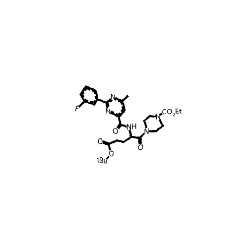 CCOC(=O)N1CCN(C(=O)C(CCC(=O)OC(C)(C)C)NC(=O)c2cc(C)nc(-c3cccc(F)c3)n2)CC1